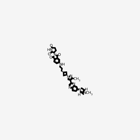 Cc1nn([C@H]2C[C@H](CCCNc3ccc4c(c3)C(=O)N(C3CCC(=O)NC3=O)C4=O)C2)cc1-c1cnc2ccc(N3C[C@H]4C[C@@H]3CN4C)cc2n1